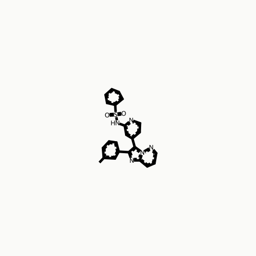 Cc1cccc(-c2nc3cccnn3c2-c2ccnc(NS(=O)(=O)c3ccccc3)c2)c1